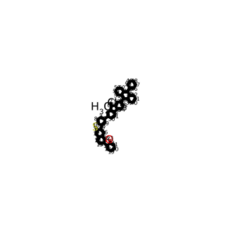 CC1(C)c2cc(-c3ccc4sc5cc6ccc7c8ccccc8oc7c6cc5c4c3)ccc2-c2ccc(-c3c4ccccc4c(-c4ccccc4)c4ccccc34)cc21